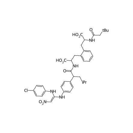 CC(C)CC(C(=O)NC(Cc1ccccc1CC(NC(=O)CC(C)(C)C)C(=O)O)C(=O)O)c1ccc(NC(=C[N+](=O)[O-])Nc2ccc(Cl)cc2)cc1